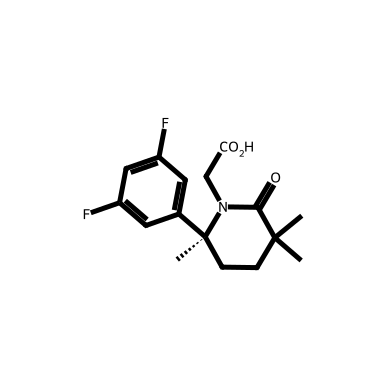 CC1(C)CC[C@@](C)(c2cc(F)cc(F)c2)N(CC(=O)O)C1=O